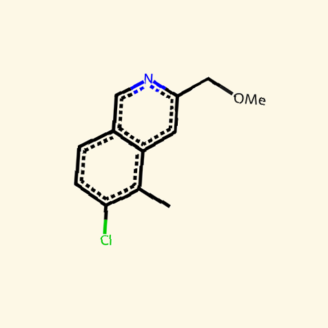 COCc1cc2c(C)c(Cl)ccc2cn1